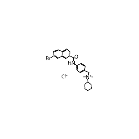 C[N+](C)(Cc1ccc(NC(=O)c2ccc3ccc(Br)cc3c2)cc1)C1CCCCC1.[Cl-]